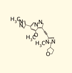 COc1cc(-c2cnn(C)c2)cn2ncc(C#Cc3cnc(C4CCOC4)n3C)c12